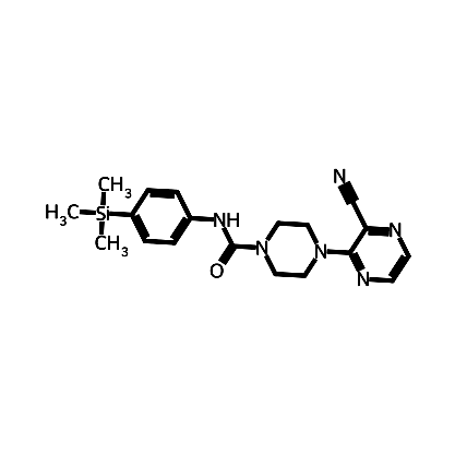 C[Si](C)(C)c1ccc(NC(=O)N2CCN(c3nccnc3C#N)CC2)cc1